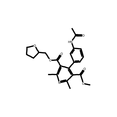 COC(=O)c1c(C)nc(C)c(C(=O)OCC2CCCO2)c1-c1cccc(NC(C)=O)c1